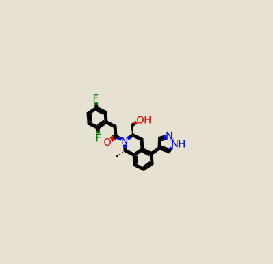 C[C@H]1c2cccc(-c3cn[nH]c3)c2C[C@H](CO)N1C(=O)Cc1cc(F)ccc1F